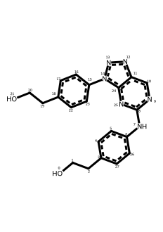 OCCc1ccc(Nc2ncc3nnn(-c4ccc(CCO)cc4)c3n2)cc1